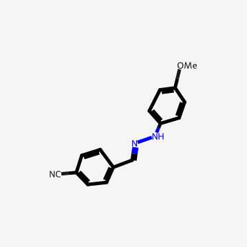 COc1ccc(NN=Cc2ccc(C#N)cc2)cc1